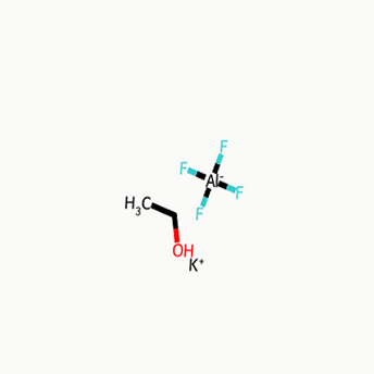 CCO.[F][Al-]([F])([F])[F].[K+]